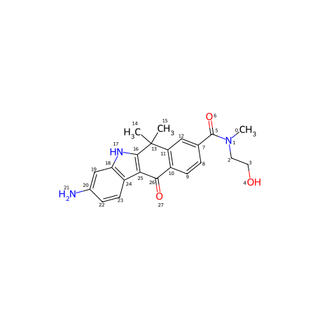 CN(CCO)C(=O)c1ccc2c(c1)C(C)(C)c1[nH]c3cc(N)ccc3c1C2=O